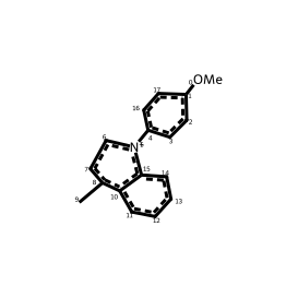 COc1ccc(-[n+]2ccc(C)c3ccccc32)cc1